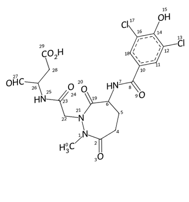 CN1C(=O)CCC(NC(=O)c2cc(Cl)c(O)c(Cl)c2)C(=O)N1CC(=O)NC(C=O)CC(=O)O